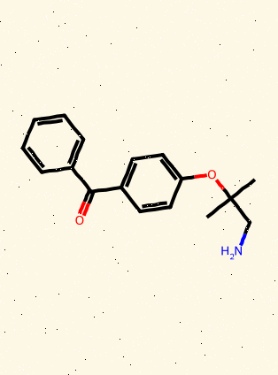 CC(C)(CN)Oc1ccc(C(=O)c2ccccc2)cc1